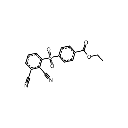 CCOC(=O)c1ccc(S(=O)(=O)c2cccc(C#N)c2C#N)cc1